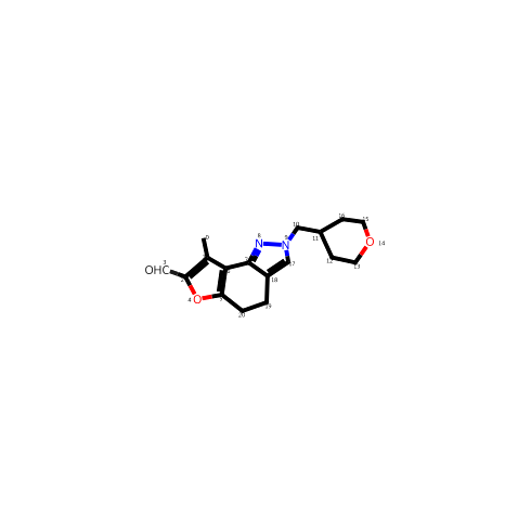 Cc1c(C=O)oc2c1-c1nn(CC3CCOCC3)cc1CC2